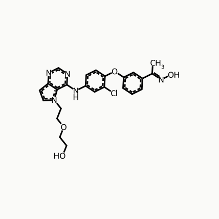 C/C(=N\O)c1cccc(Oc2ccc(Nc3ncnc4ccn(CCOCCO)c34)cc2Cl)c1